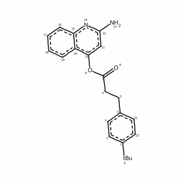 CC(C)(C)c1ccc(CCC(=O)Oc2cc(N)nc3ccccc23)cc1